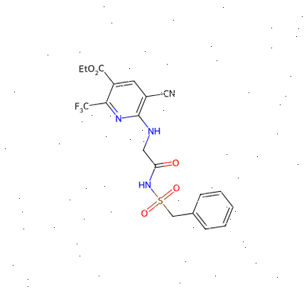 CCOC(=O)c1cc(C#N)c(NCC(=O)NS(=O)(=O)Cc2ccccc2)nc1C(F)(F)F